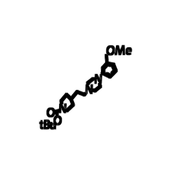 COCc1cccc(N2CCN(CCC3CCN(C(=O)OC(C)(C)C)CC3)CC2)c1